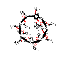 CCOc1cc2c(OCC)cc1Cc1cc(OCC)c(cc1OCC)Cc1cc(OCC)c(cc1OCC)Cc1cc(OCC)c(cc1OCC)Cc1cc(OCC)c(cc1OCC)Cc1cc(OCC)c(cc1OCC)Cc1cc(OCC)c(cc1OCC)C2